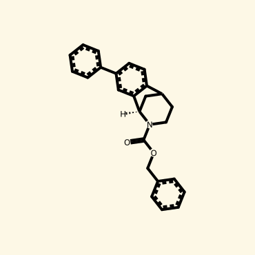 O=C(OCc1ccccc1)N1CCC2C[C@@H]1c1cc(-c3ccccc3)ccc12